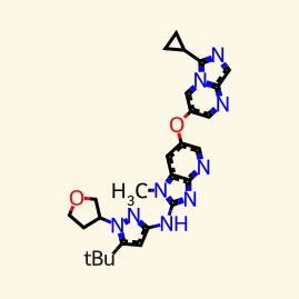 Cn1c(Nc2cc(C(C)(C)C)n(C3CCOC3)n2)nc2ncc(Oc3cnc4cnc(C5CC5)n4c3)cc21